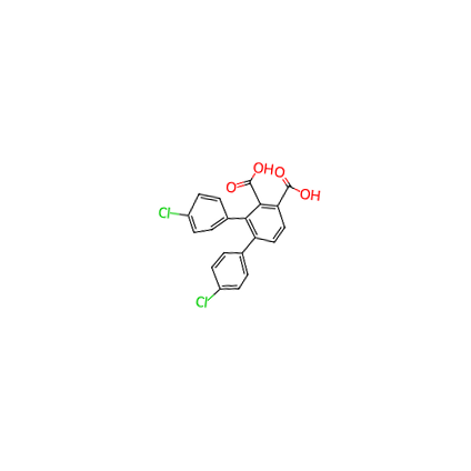 O=C(O)c1ccc(-c2ccc(Cl)cc2)c(-c2ccc(Cl)cc2)c1C(=O)O